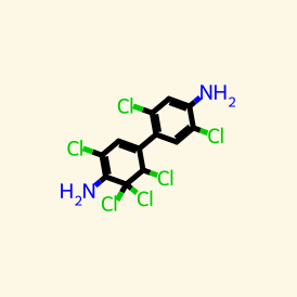 NC1=C(Cl)C=C(c2cc(Cl)c(N)cc2Cl)C(Cl)C1(Cl)Cl